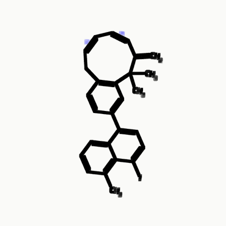 C=C1/C=C\C=C/Cc2ccc(-c3ccc(I)c4c(C)cccc34)cc2C1(C)C